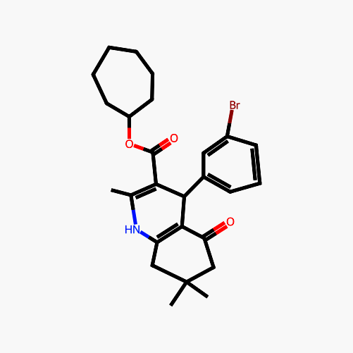 CC1=C(C(=O)OC2CCCCCC2)C(c2cccc(Br)c2)C2=C(CC(C)(C)CC2=O)N1